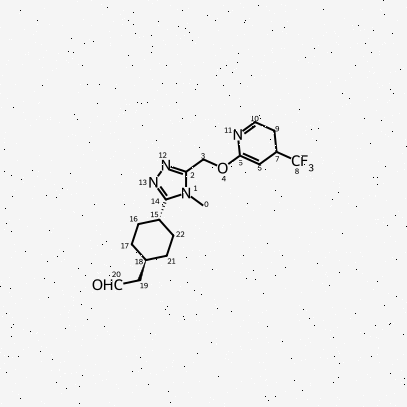 Cn1c(COC2=CC(C(F)(F)F)CC=N2)nnc1[C@H]1CC[C@H](CC=O)CC1